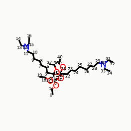 CCO[Si](CCCCCCCCN(CC)CC)(OCC)O[Si](CCCCCCCCN(CC)CC)(OCC)OCC